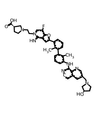 Cc1c(Nc2nccc3cc(CN4CC[C@@H](O)C4)cnc23)cccc1-c1cccc(-c2cc3c(=N)n(CCN4CC[C@@H](C(=O)O)C4)cc(F)c3o2)c1C